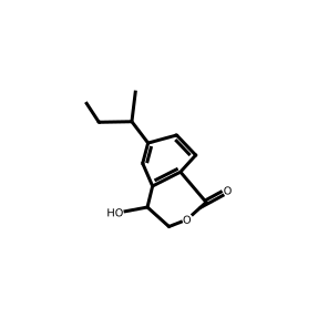 CCC(C)c1ccc2c(c1)C(O)COC2=O